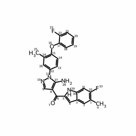 Cc1cc2cc(C(=O)c3cnn(-c4ccc(Oc5ccccc5F)c(C)c4)c3N)[nH]c2cc1F